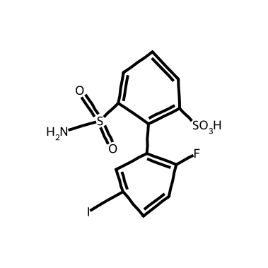 NS(=O)(=O)c1cccc(S(=O)(=O)O)c1-c1cc(I)ccc1F